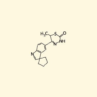 CC1SC(=O)NN=C1c1ccc2c(c1)C1(C=N2)CCCC1